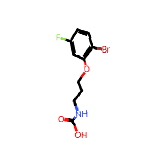 O=C(O)NCCCOc1cc(F)ccc1Br